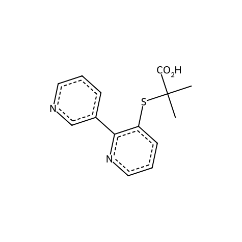 CC(C)(Sc1cccnc1-c1cccnc1)C(=O)O